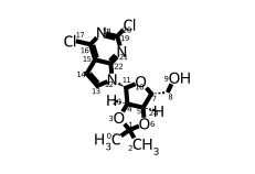 CC1(C)O[C@@H]2[C@H](O1)[C@@H](CO)O[C@H]2n1ccc2c(Cl)nc(Cl)nc21